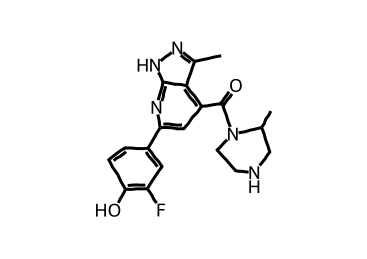 Cc1n[nH]c2nc(-c3ccc(O)c(F)c3)cc(C(=O)N3CCNCC3C)c12